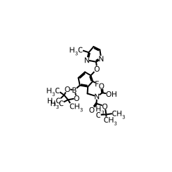 Cc1ccnc(Oc2ccc(B3OC(C)(C)C(C)(C)O3)c(CN(C(=O)O)C(=O)OC(C)(C)C)c2F)n1